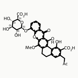 COc1c2c(c(O)c3c(=O)c4cccc(O[C@@H]5O[C@H](C(=O)O)[C@@H](O)[C@H](O)[C@H]5O)c4oc13)-c1c(cc(CC(C)=O)c(C(=O)O)c1O)CC2